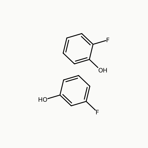 Oc1cccc(F)c1.Oc1ccccc1F